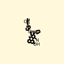 CCc1cccc2cc(O)cc(-c3c(C#N)cc4c(N5CC6CCC(C5)N6)nc(OC[C@]56CCCN5[C@@H](COC(=O)N(C)C)CC6)cc4c3F)c12